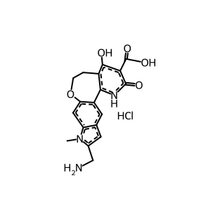 Cl.Cn1c(CN)cc2cc3c(cc21)OCCc1c-3[nH]c(=O)c(C(=O)O)c1O